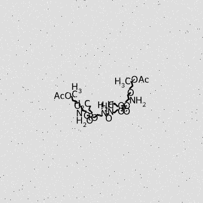 C=CCCP(=O)(OCCNC(=O)NCCOP(=O)(OCC=C)OC[C@H](N)COCC[C@@H](C)OC(C)=O)OC[C@H](N)COCC[C@@H](C)OC(C)=O